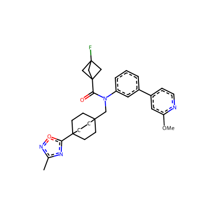 COc1cc(-c2cccc(N(CC34CCC(c5nc(C)no5)(CC3)CC4)C(=O)C34CC(F)(C3)C4)c2)ccn1